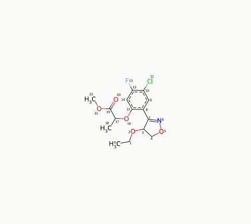 CCOC1CON=C1c1cc(Cl)c(F)cc1OC(C)C(=O)OC